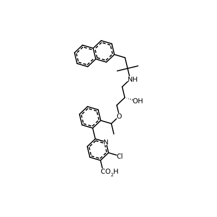 CC(OC[C@@H](O)CNC(C)(C)Cc1ccc2ccccc2c1)c1ccccc1-c1ccc(C(=O)O)c(Cl)n1